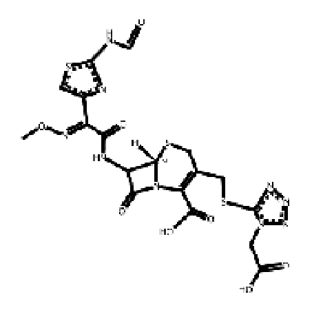 CON=C(C(=O)NC1C(=O)N2C(C(=O)O)=C(CSc3nnnn3CC(=O)O)CS[C@@H]12)c1csc(NC=O)n1